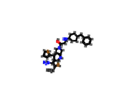 Nc1c(C(=O)O)sc2nc3c(c(-c4cccs4)c12)CN(C(=O)CNC1CCC(Cc2ccccc2)CC1)C3